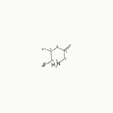 C=C(CN)CC(C)CF